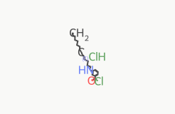 C=CCCCCCCCC/C=C/CCCNc1cccc(C(=O)Cl)c1.Cl